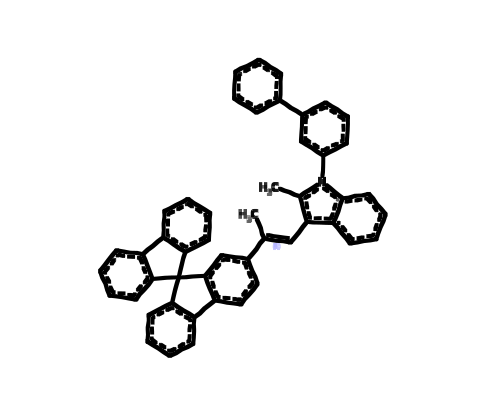 C/C(=C\c1c(C)n(-c2cccc(-c3ccccc3)c2)c2ccccc12)c1ccc2c(c1)C1(c3ccccc3-c3ccccc31)c1ccccc1-2